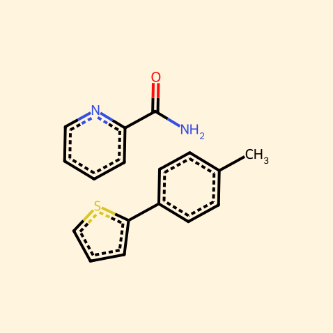 Cc1ccc(-c2cccs2)cc1.NC(=O)c1ccccn1